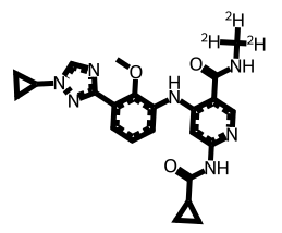 [2H]C([2H])([2H])NC(=O)c1cnc(NC(=O)C2CC2)cc1Nc1cccc(-c2ncn(C3CC3)n2)c1OC